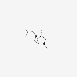 CCN1C[C@H]2C[C@@H]1CN2CC(C)C